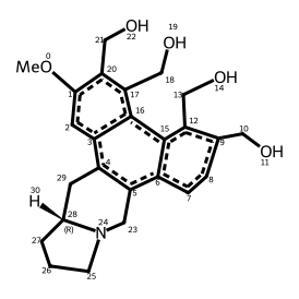 COc1cc2c3c(c4ccc(CO)c(CO)c4c2c(CO)c1CO)CN1CCC[C@@H]1C3